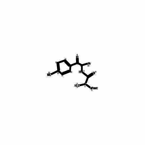 CCCCCN(C)C(=O)NC(C(=O)c1ccc(C#N)cc1)C(C)C